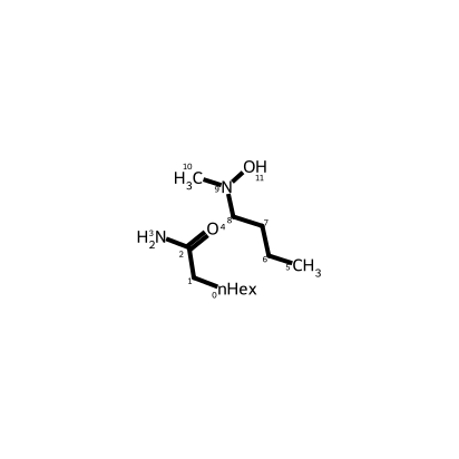 CCCCCCCC(N)=O.CCCCN(C)O